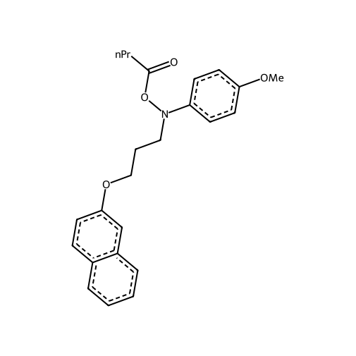 CCCC(=O)ON(CCCOc1ccc2ccccc2c1)c1ccc(OC)cc1